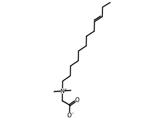 CC/C=C/CCCCCCCC[N+](C)(C)CC(=O)[O-]